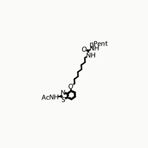 CCCCCNC(=O)NCCCCCCCCOc1cccc2sc(NC(C)=O)nc12